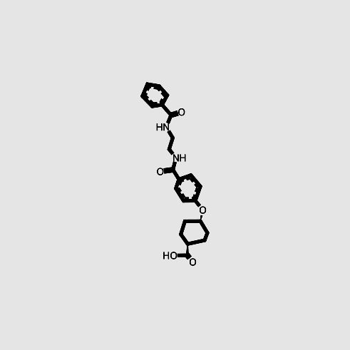 O=C(NCCNC(=O)c1ccc(O[C@H]2CC[C@H](C(=O)O)CC2)cc1)c1ccccc1